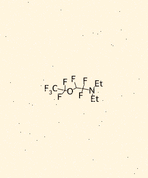 CCN(CC)C(F)(F)C(F)OC(F)(F)C(F)(F)F